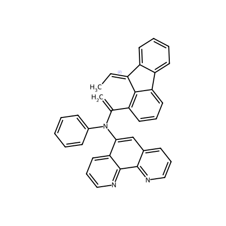 C=C(c1cccc2c1/C(=C\C)c1ccccc1-2)N(c1ccccc1)c1cc2cccnc2c2ncccc12